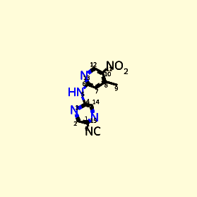 [C-]#[N+]c1cnc(Nc2cc(C)c([N+](=O)[O-])cn2)cn1